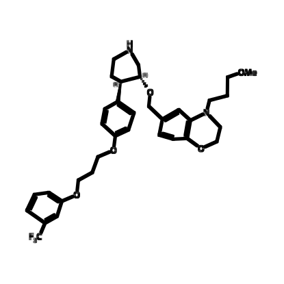 COCCCN1CCOc2ccc(CO[C@H]3CNCC[C@@H]3c3ccc(OCCCOc4cccc(C(F)(F)F)c4)cc3)cc21